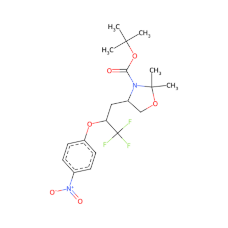 CC(C)(C)OC(=O)N1C(CC(Oc2ccc([N+](=O)[O-])cc2)C(F)(F)F)COC1(C)C